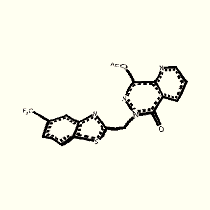 CC(=O)Oc1nn(Cc2nc3cc(C(F)(F)F)ccc3s2)c(=O)c2cccnc12